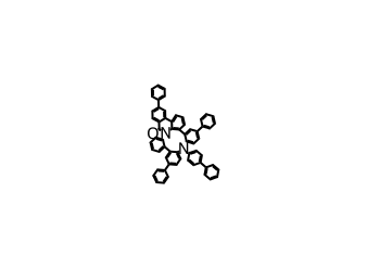 O=c1c2ccc(-c3ccccc3)cc2c2cccc3c2n1-c1ccccc1-c1cc(-c2ccccc2)ccc1N(c1ccc(-c2ccccc2)cc1)c1ccc(-c2ccccc2)cc1-3